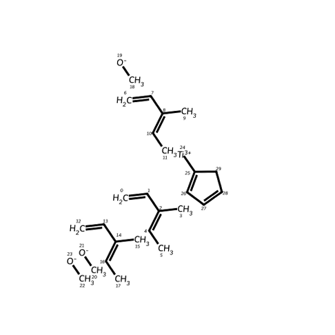 C=CC(C)=CC.C=CC(C)=CC.C=CC(C)=CC.C[O-].C[O-].C[O-].[Ti+3][C]1=CC=CC1